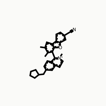 Cc1cc2c(oc3cc(C#N)ccc32)c(-c2c3ccc(CC4CCCC4)cc3cc[n+]2C)c1C